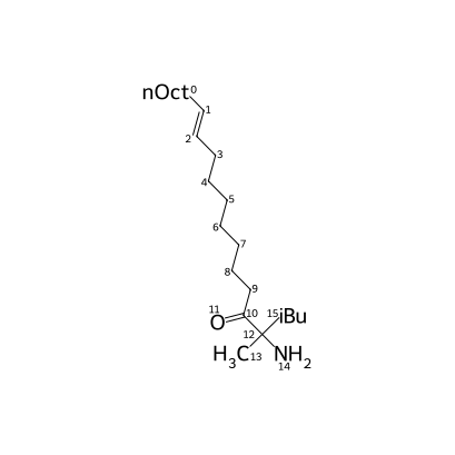 CCCCCCCCC=CCCCCCCCC(=O)C(C)(N)C(C)CC